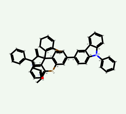 C=C(/C(=C\C=C/C)c1ccccc1)C1(C2=C(S)C=CCC2)c2ccccc2Sc2cc(-c3ccc4c(c3)c3ccccc3n4-c3ccccc3)ccc21